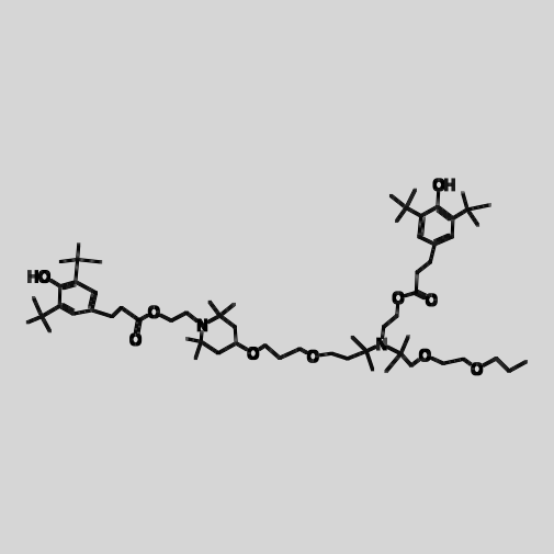 CCCOCCOCC(C)(C)N(CCOC(=O)CCc1cc(C(C)(C)C)c(O)c(C(C)(C)C)c1)C(C)(C)CCOCCCOC1CC(C)(C)N(CCOC(=O)CCc2cc(C(C)(C)C)c(O)c(C(C)(C)C)c2)C(C)(C)C1